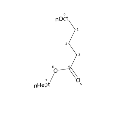 CCCCCCCCCCCC(=O)OCCCCCCC